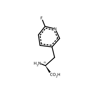 N[C@@H](Cc1ccc(F)nc1)C(=O)O